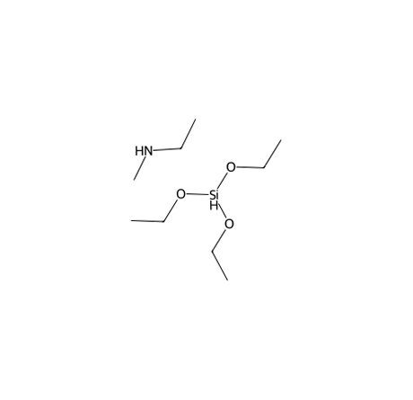 CCNC.CCO[SiH](OCC)OCC